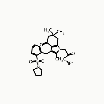 Cc1c(Cc2ccccc2S(=O)(=O)N2CCCC2)c2c(n1CC(=O)OC(C)C)CC(C)(C)CC2=O